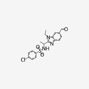 CCn1c(C(C)NS(=O)(=O)c2ccc(Cl)cc2)nc2ccc(C=O)cc21